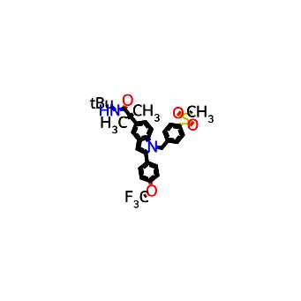 CC(C)(C)NC(=O)C(C)(C)c1ccc2c(c1)cc(-c1ccc(OC(F)(F)F)cc1)n2Cc1ccc(S(C)(=O)=O)cc1